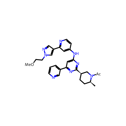 COCCn1cc(-c2cc(Nc3cc(-c4cccnc4)nc([C@@H]4CC[C@H](C)N(C(C)=O)C4)n3)ccn2)cn1